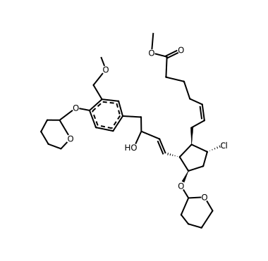 COCc1cc(CC(O)/C=C/[C@@H]2[C@@H](C/C=C\CCCC(=O)OC)[C@H](Cl)C[C@H]2OC2CCCCO2)ccc1OC1CCCCO1